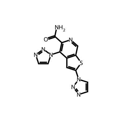 NC(=O)c1ncc2sc(-n3ccnn3)cc2c1-n1ccnn1